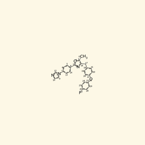 Cc1oc(-c2ccc(-n3ccnc3)cc2)nc1Cc1ccc(Oc2ccc(F)cc2)cc1